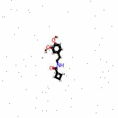 COc1ccc(CCNC(=O)C2CCC2)cc1OC